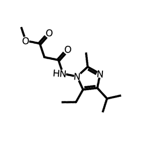 CCc1c(C(C)C)nc(C)n1NC(=O)CC(=O)OC